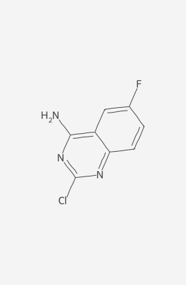 Nc1nc(Cl)nc2ccc(F)cc12